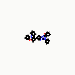 c1ccc(-n2c3c4ccccc4oc3n3c4ccc(-c5ccc6c7c5c5ccccc5n7-c5ccccc5O6)cc4nc23)cc1